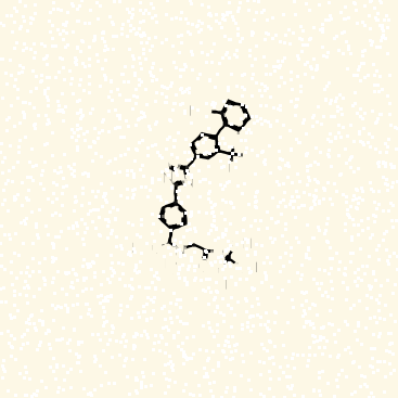 Cc1ccccc1-c1ccc(-c2nc(-c3ccc([C@H](C)N(C)CC(=O)OC(C)(C)C)cc3)no2)cc1C(F)(F)F